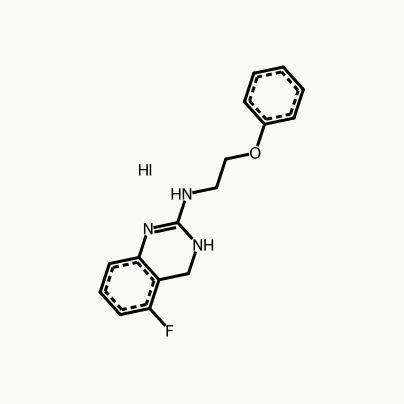 Fc1cccc2c1CNC(NCCOc1ccccc1)=N2.I